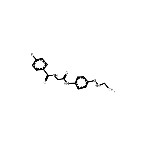 CCNSc1ccc(NC(=O)CNC(=O)c2ccc(F)cc2)cc1